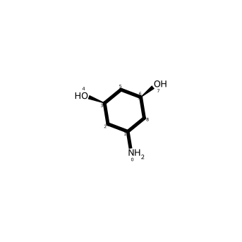 NC1C[C@@H](O)C[C@@H](O)C1